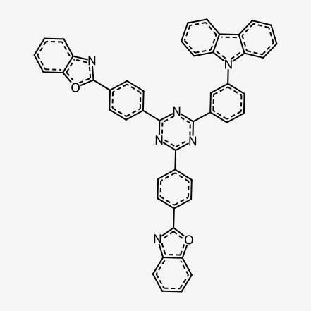 c1cc(-c2nc(-c3ccc(-c4nc5ccccc5o4)cc3)nc(-c3ccc(-c4nc5ccccc5o4)cc3)n2)cc(-n2c3ccccc3c3ccccc32)c1